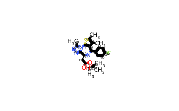 Cc1sc2c(c1C)C(c1ccc(F)cc1)=N[C@@H](CC(O)OC(C)(C)C)c1nnc(C)n1-2